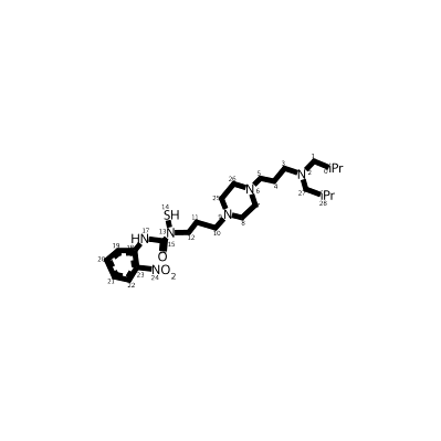 CC(C)CN(CCCN1CCN(CCCN(S)C(=O)Nc2ccccc2[N+](=O)[O-])CC1)CC(C)C